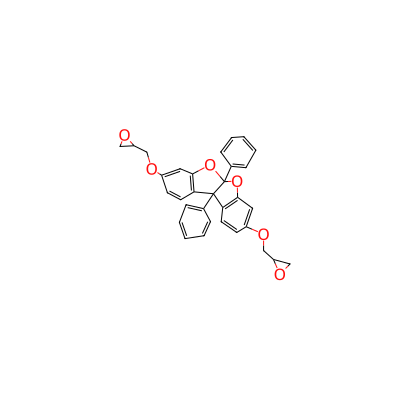 c1ccc(C23Oc4cc(OCC5CO5)ccc4C2(c2ccccc2)c2ccc(OCC4CO4)cc2O3)cc1